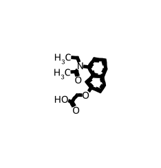 CCN(C(C)=O)c1cccc2ccc(OCC(=O)O)cc12